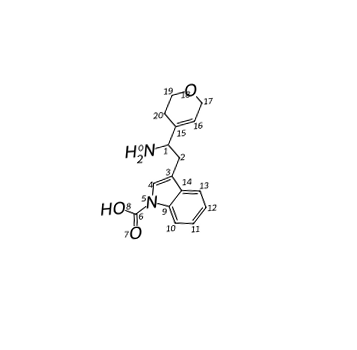 NC(Cc1cn(C(=O)O)c2ccccc12)C1=CCOCC1